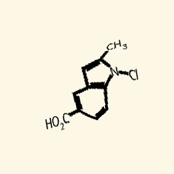 Cc1cc2cc(C(=O)O)ccc2n1Cl